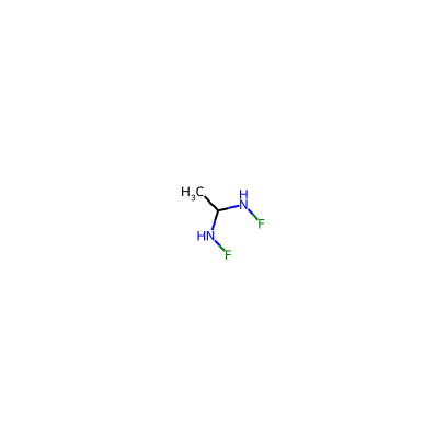 CC(NF)NF